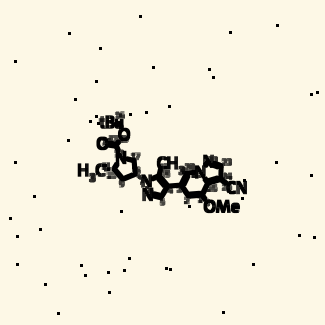 COc1cc(-c2cnn([C@@H]3C[C@H](C)N(C(=O)OC(C)(C)C)C3)c2C)cn2ncc(C#N)c12